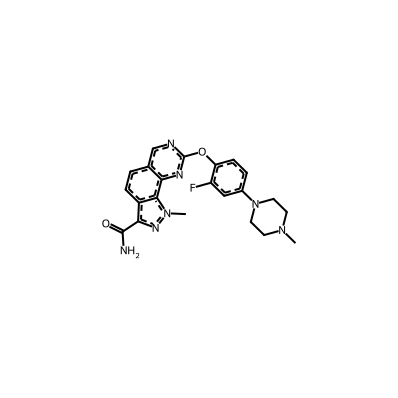 CN1CCN(c2ccc(Oc3ncc4ccc5c(C(N)=O)nn(C)c5c4n3)c(F)c2)CC1